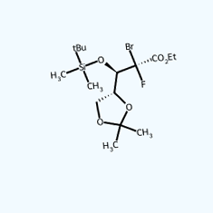 CCOC(=O)[C@@](F)(Br)[C@H](O[Si](C)(C)C(C)(C)C)[C@H]1COC(C)(C)O1